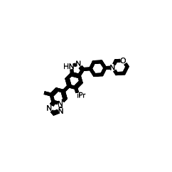 Cc1cc(-c2cc3[nH]nc(C4CCC(N5CCCOC5)CC4)c3cc2C(C)C)cn2ncnc12